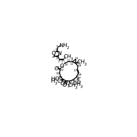 C/C(=C\c1coc(CN)n1)[C@@H]1CC2CC2(C)C/C=C/[C@H](C)[C@H](O)[C@@H](C)C(=O)C(C)(C)[C@@H](O)CC(=O)O1